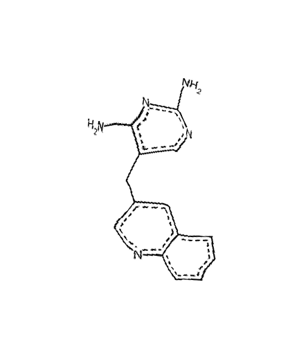 Nc1ncc(Cc2cnc3ccccc3c2)c(N)n1